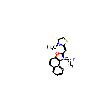 CN1CCSC1=Cc1oc2ccc3ccccc3c2[n+]1C.[I-]